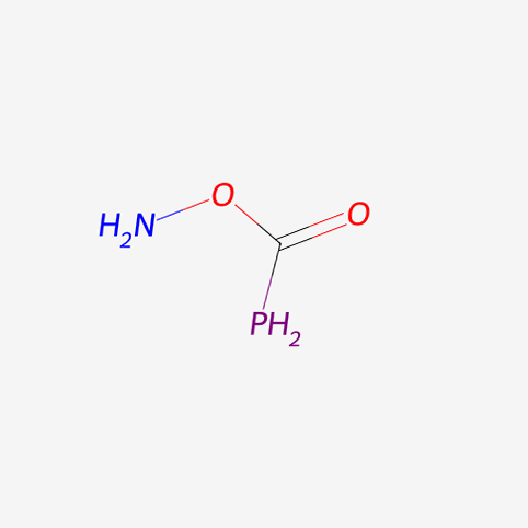 NOC(=O)P